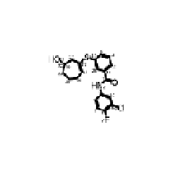 O=C(Nc1ccc(F)c(Cl)c1)c1cccc(SC2=CCCC[C@@H](O)C2)c1